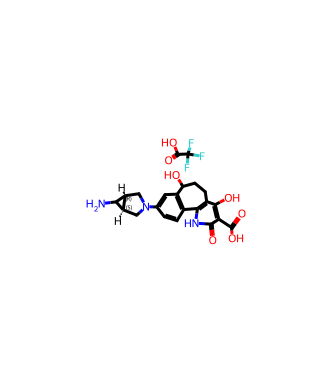 NC1[C@H]2CN(c3ccc4c(c3)C(O)CCc3c-4[nH]c(=O)c(C(=O)O)c3O)C[C@@H]12.O=C(O)C(F)(F)F